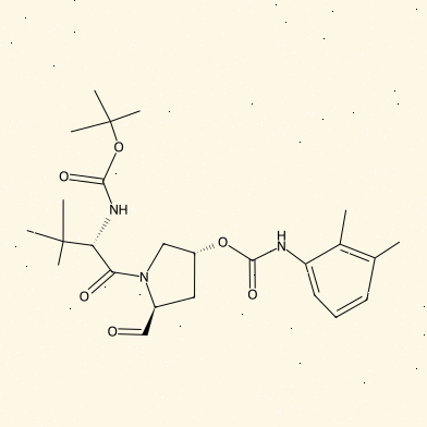 Cc1cccc(NC(=O)O[C@@H]2C[C@@H](C=O)N(C(=O)[C@@H](NC(=O)OC(C)(C)C)C(C)(C)C)C2)c1C